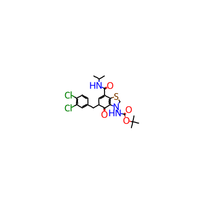 CC(C)NC(=O)C1=CC(Cc2ccc(Cl)c(Cl)c2)C(=O)C2=C1SCN2NC(=O)OC(C)(C)C